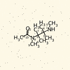 CNC(C)(C)C(C)(C)N(C)C(C)=O